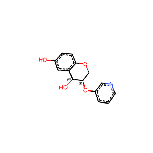 Oc1ccc2c(c1)[C@@H](O)[C@H](Oc1cccnc1)CO2